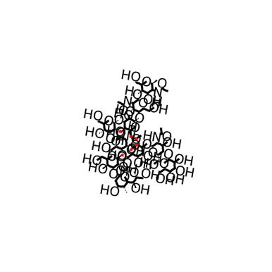 CC(=O)NC1C(O)[C@H](O[C@@H]2OC(CO)[C@H](O)[C@H](O)C2O)[C@H](CO)O[C@H]1OC1[C@@H](OCC2O[C@@H](O[C@@H]3C(CO)O[C@@H](O[C@@H]4C(CO)O[C@@H](C)C(NC(C)=O)[C@H]4O)C(NC(C)=O)[C@H]3O)C(O)[C@@H](O[C@H]3OC(CO)[C@@H](O)C(O)C3O[C@@H]3OC(CO)[C@@H](O[C@@H]4OC(CO)[C@H](O)[C@H](O[C@]5(OC=O)C[C@@H](O)[C@@H](C)C([C@H](O)[C@H](O)CO)O5)C4O)[C@H](O)C3NC(C)=O)[C@@H]2O)OC(CO)[C@@H](O)[C@@H]1O